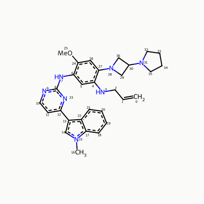 C=CCNc1cc(Nc2nccc(-c3cn(C)c4ccccc34)n2)c(OC)cc1N1CC(N2CCCC2)C1